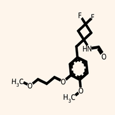 COCCCOc1cc(CC2(NC=O)CC(F)(F)C2)ccc1OC